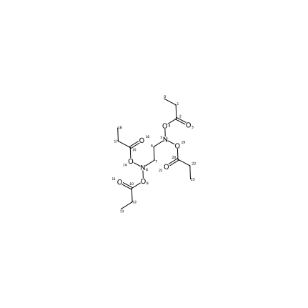 CCC(=O)ON(CCN(OC(=O)CC)OC(=O)CC)OC(=O)CC